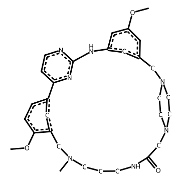 COc1cc2cc(c1)Nc1nccc(n1)-c1ccc(OC)c(c1)CN(C)CCCNC(=O)CN1CCN(CC1)C2